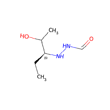 CC[C@H](NNC=O)C(C)O